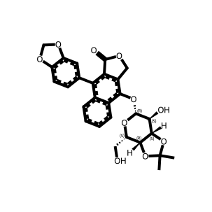 CC1(C)O[C@H]2[C@H](O)[C@@H](Oc3c4c(c(-c5ccc6c(c5)OCO6)c5ccccc35)C(=O)OC4)O[C@@H](CO)[C@H]2O1